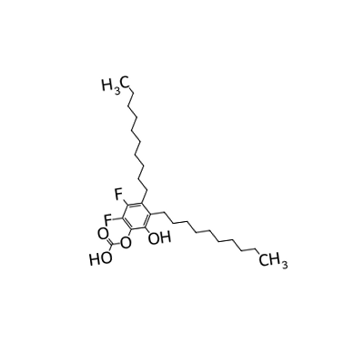 CCCCCCCCCCc1c(O)c(OC(=O)O)c(F)c(F)c1CCCCCCCCCC